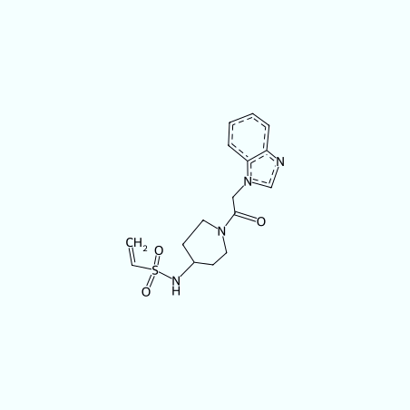 C=CS(=O)(=O)NC1CCN(C(=O)Cn2cnc3ccccc32)CC1